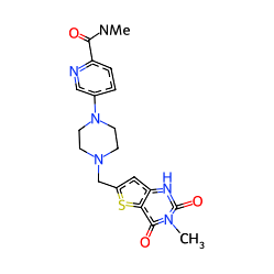 CNC(=O)c1ccc(N2CCN(Cc3cc4[nH]c(=O)n(C)c(=O)c4s3)CC2)cn1